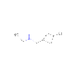 CCC1CC(CNCC#N)C1